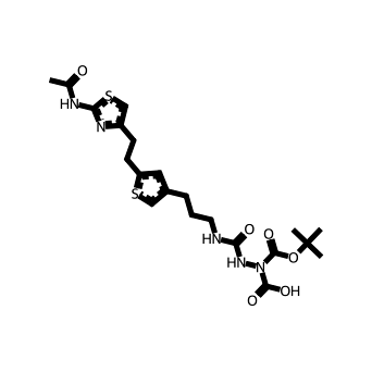 CC(=O)Nc1nc(CCc2cc(CCCNC(=O)NN(C(=O)O)C(=O)OC(C)(C)C)cs2)cs1